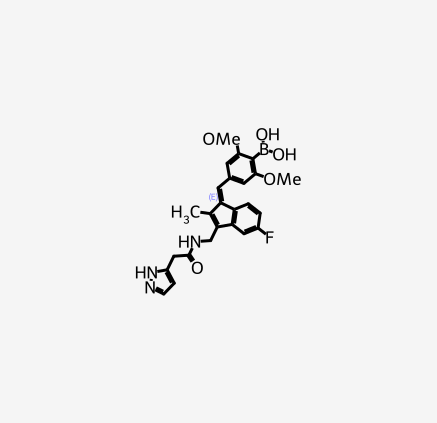 COc1cc(/C=C2/C(C)=C(CNC(=O)Cc3ccn[nH]3)c3cc(F)ccc32)cc(OC)c1B(O)O